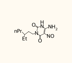 CCCC(CC)CCn1c(=O)[nH]c(N)c(N=O)c1=O